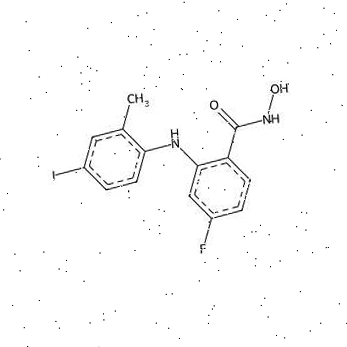 Cc1cc(I)ccc1Nc1cc(F)ccc1C(=O)NO